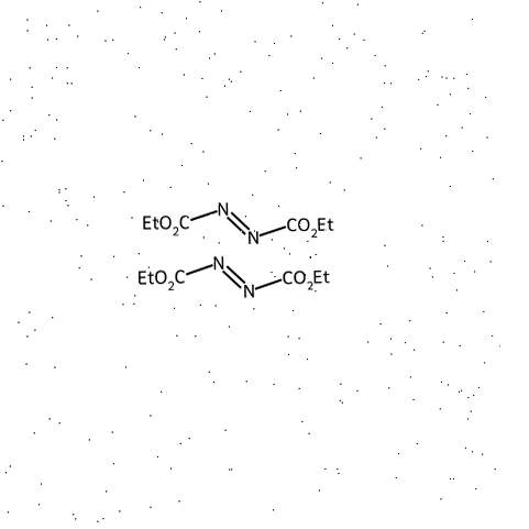 CCOC(=O)N=NC(=O)OCC.CCOC(=O)N=NC(=O)OCC